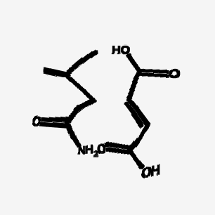 CC(C)CC(N)=O.O=C(O)C=CC(=O)O